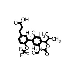 CCN1C(=O)OC(C(C)C)c2cc(C)c(-c3cc(CCC(=O)O)ccc3OC(F)(F)F)cc21